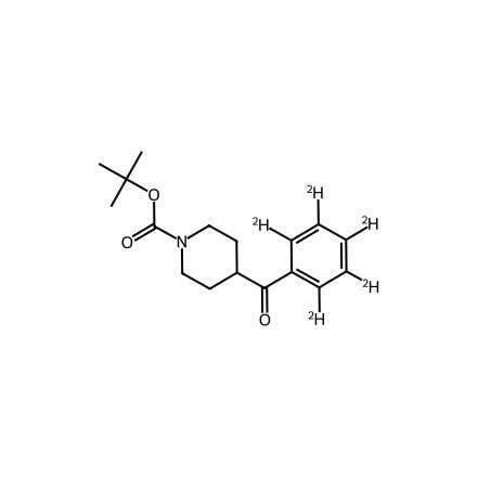 [2H]c1c([2H])c([2H])c(C(=O)C2CCN(C(=O)OC(C)(C)C)CC2)c([2H])c1[2H]